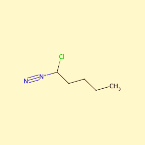 CCCCC(Cl)[N+]#N